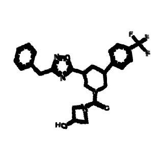 O=C(N1CC(O)C1)N1CC(c2ccc(C(F)(F)F)cc2)CC(c2nc(Cc3ccccc3)no2)C1